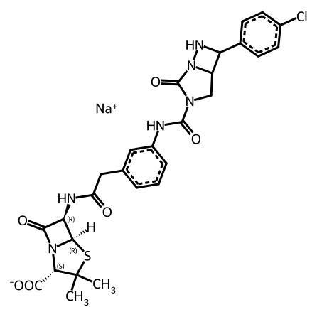 CC1(C)S[C@@H]2[C@H](NC(=O)Cc3cccc(NC(=O)N4CC5C(c6ccc(Cl)cc6)NN5C4=O)c3)C(=O)N2[C@H]1C(=O)[O-].[Na+]